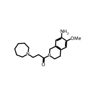 COc1cc2c(cc1N)CN(C(=O)CCN1CCCCCC1)CC2